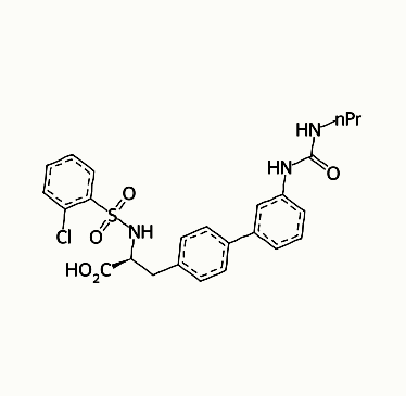 CCCNC(=O)Nc1cccc(-c2ccc(C[C@H](NS(=O)(=O)c3ccccc3Cl)C(=O)O)cc2)c1